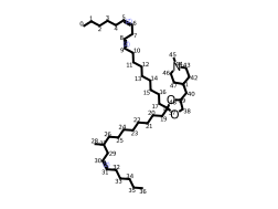 CCCCC/C=C\C/C=C\CCCCCCCCC1(CCCCCCCCC(C)C/C=C\CCCCC)OCC(CC2CCN(C)CC2)O1